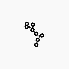 c1ccc(-c2ccc(N(c3ccccc3)c3ccc(-c4ccc5c(c4)c4ccccc4n5-c4cccc5ccccc45)cc3)cc2)cc1